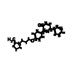 C[C@@H]1CCCN1CCCOc1ccc(-n2nc(-c3cccnc3)ccc2=O)cc1